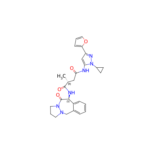 C[C@H](CC(=O)Nc1cc(-c2ccco2)nn1C1CC1)C(=O)N[C@@H]1C(=O)N2CCCN2Cc2ccccc21